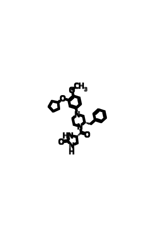 COc1ccc(N2CCN(C(=O)[C@@H]3CNC(=O)N3)[C@@H](Cc3ccccc3)C2)cc1OC1CCCC1